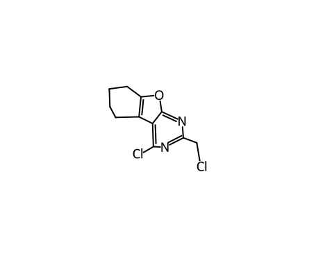 ClCc1nc(Cl)c2c3c(oc2n1)CCCC3